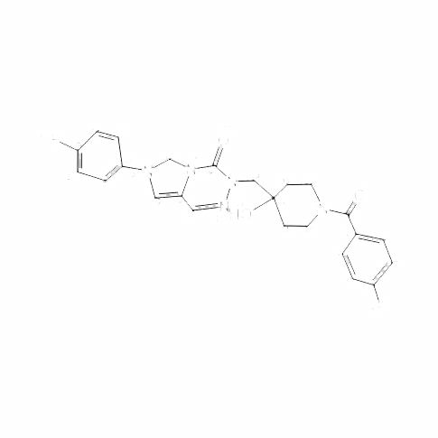 O=C(c1ccc(F)cc1)N1CCC(O)(CN2N=CC3=CN(c4ccc(F)cc4)CN3C2=O)CC1